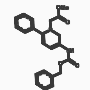 COC(=O)CN1CC(NC(=O)OCc2ccccc2)=CC=C1c1ccccc1